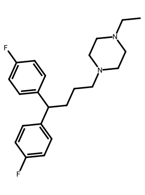 CCN1CCN(CCCC(c2ccc(F)cc2)c2ccc(F)cc2)CC1